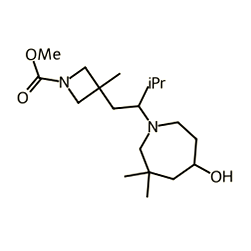 COC(=O)N1CC(C)(CC(C(C)C)N2CCC(O)CC(C)(C)C2)C1